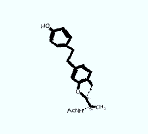 CC(=O)N[C@@H](C)[C@H]1Cc2ccc(CCc3ccc(O)cc3)cc2O1